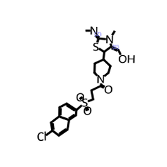 C/N=C1\SC(C2CCN(C(=O)CCS(=O)(=O)c3ccc4cc(Cl)ccc4c3)CC2)/C(=C\O)N1C